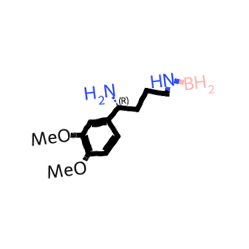 BNCCC[C@@H](N)c1ccc(OC)c(OC)c1